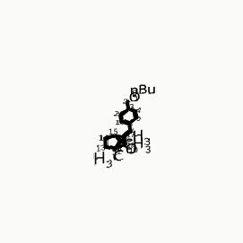 CCCCOCc1ccc(/C=C2/C(=O)C3(C)CCC2C3(C)C)cc1